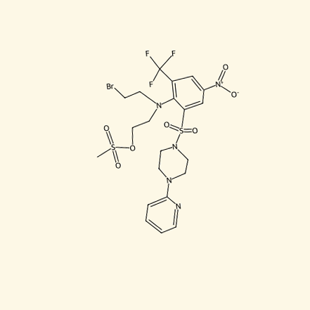 CS(=O)(=O)OCCN(CCBr)c1c(C(F)(F)F)cc([N+](=O)[O-])cc1S(=O)(=O)N1CCN(c2ccccn2)CC1